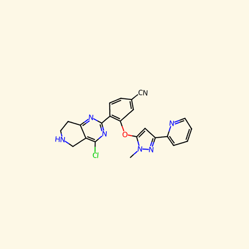 Cn1nc(-c2ccccn2)cc1Oc1cc(C#N)ccc1-c1nc(Cl)c2c(n1)CCNC2